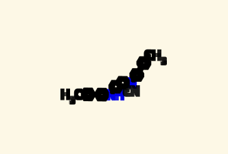 Cc1ccc(-c2ccc(/N=C3\CCC4CCC(Nc5ccc(-c6ccc(C)cc6)cc5)=CC4=C3C#N)cc2)cc1